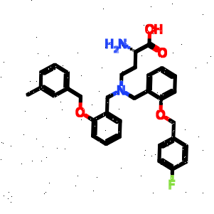 Cc1cccc(COc2ccccc2CN(CC[C@H](N)C(=O)O)Cc2ccccc2OCc2ccc(F)cc2)c1